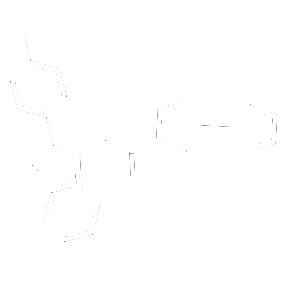 Cc1ccc(-c2nc3ccc(C)cn3c2CC(=O)c2csc(-c3cccs3)n2)cc1